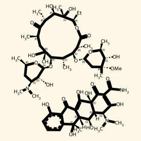 CC[C@H]1OC(=O)[C@H](C)[C@@H](O[C@H]2C[C@@](C)(OC)[C@@H](O)[C@H](C)O2)[C@H](C)[C@@H](O[C@@H]2O[C@H](C)C[C@H](N(C)C)[C@H]2O)[C@](C)(O)C[C@@H](C)C(=O)[C@H](C)[C@@H](O)[C@]1(C)O.CN(C)[C@@H]1C(O)=C(C(N)=O)C(=O)[C@@]2(O)C(O)=C3C(=O)c4c(O)cccc4[C@@](C)(O)[C@H]3[C@H](O)[C@@H]12